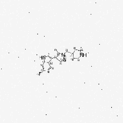 Cc1c(-c2c[nH]c3cc(F)ccc23)cnn1CC1CCNCC1